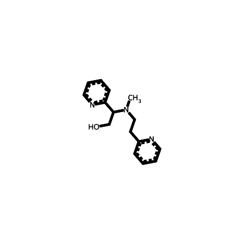 CN(CCc1ccccn1)C(CO)c1ccccn1